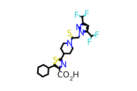 O=C(O)c1nc(C2CCN(C(=S)Cn3nc(C(F)F)cc3C(F)F)CC2)sc1C1CCCCC1